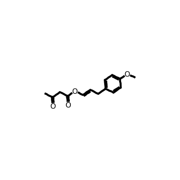 COc1ccc(CC=COC(=O)CC(C)=O)cc1